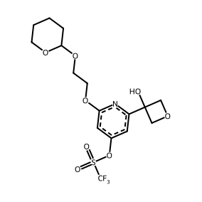 O=S(=O)(Oc1cc(OCCOC2CCCCO2)nc(C2(O)COC2)c1)C(F)(F)F